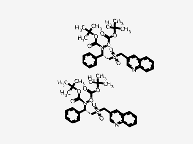 CC(C)(C)OC(=O)ON(C(=O)OC(C)(C)C)[C@H](CS(=O)(=O)Cc1cnc2ccccc2c1)c1ccccc1.CC(C)(C)OC(=O)ON(C(=O)OC(C)(C)C)[C@H](CS(=O)(=O)Cc1cnc2ccccc2c1)c1ccccc1